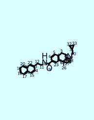 C[C@H]1C2Cc3ccc(C(=O)NCCc4ccc5ccccc5c4)cc3[C@@]1(C)CCN2CC1CC1